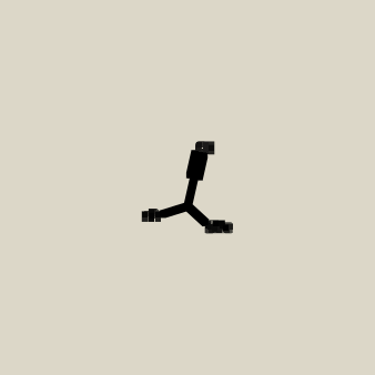 C#CC(CC[CH2])SC